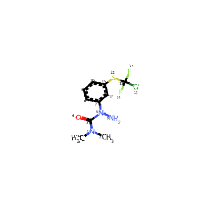 CN(C)C(=O)N(N)c1cccc(SC(F)(F)Cl)c1